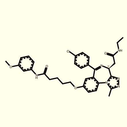 CCNC(=O)C[C@@H]1N=C(c2ccc(Cl)cc2)c2cc(OCCCCC(=O)Nc3cccc(OC)c3)ccc2-n2c(C)nnc21